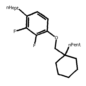 CCCCCCCc1ccc(OCC2(CCCCC)CCCCC2)c(F)c1F